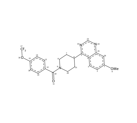 COc1ccc2c(C3CCN(C(=O)c4ccc(OC(F)(F)F)cc4)CC3)ncnc2c1